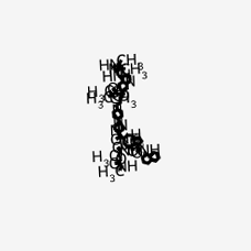 CNC(=O)OC(C)C(=O)N[C@H]1CN(C(=O)c2cnc(N3CCN(CCCOc4cc5ncnc(Nc6n[nH]c(C)c6C)c5cc4S(=O)(=O)C(C)(C)C)CC3)cn2)CC[C@H]2CC[C@@H](C(=O)N[C@@H]3CCCc4ccccc43)N2C1=O